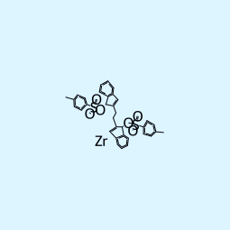 Cc1ccc(S(=O)(=O)OC2C(CCC3=Cc4ccccc4C3OS(=O)(=O)c3ccc(C)cc3)=Cc3ccccc32)cc1.[Zr]